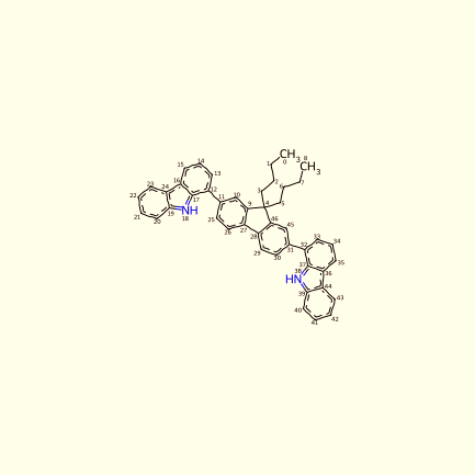 CCCCC1(CCCC)c2cc(-c3cccc4c3[nH]c3ccccc34)ccc2-c2ccc(-c3cccc4c3[nH]c3ccccc34)cc21